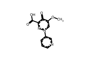 COc1cn(-c2cccnc2)nc(C(=O)O)c1=O